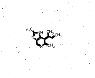 C=C/C(C)=c1\c(=C)ncc2nc(C)[nH]c12